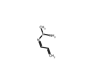 C=C/C=N\N(C)N